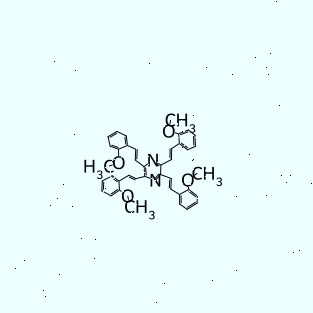 COc1ccccc1C=Cc1nc(C=Cc2ccccc2OC)c(C=Cc2ccccc2OC)nc1C=Cc1ccccc1OC